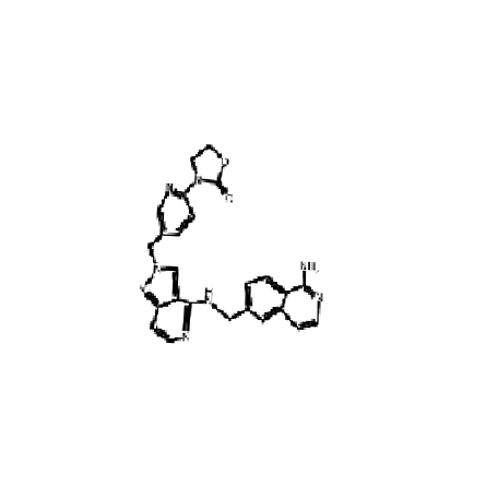 Nc1nccc2cc(CNc3nccc4nn(Cc5ccc(N6CCOC6=O)nc5)cc34)ccc12